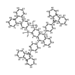 CC1(C)c2cc3c(-c4ccc(-n5c6ccccc6c6ccccc65)cc4)c4ccccc4c(-c4ccc(-n5c6ccccc6c6ccccc65)cc4)c3cc2C(C)(C)c2cc3c4ccccc4c4ccccc4c3cc21